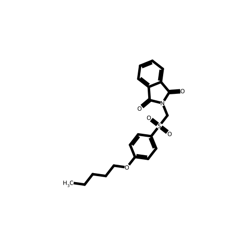 CCCCCOc1ccc(S(=O)(=O)CN2C(=O)c3ccccc3C2=O)cc1